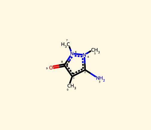 Cc1c(N)n(C)n(C)c1=O